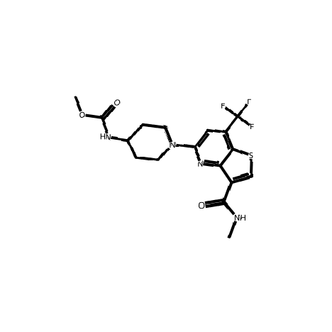 CNC(=O)c1csc2c(C(F)(F)F)cc(N3CCC(NC(=O)OC)CC3)nc12